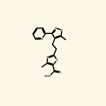 CNC(=O)c1sc(CCc2c(-c3ccccn3)noc2C)nc1C